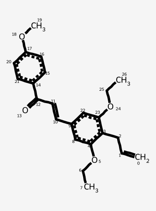 C=CCc1c(OCC)cc(C=CC(=O)c2ccc(OC)cc2)cc1OCC